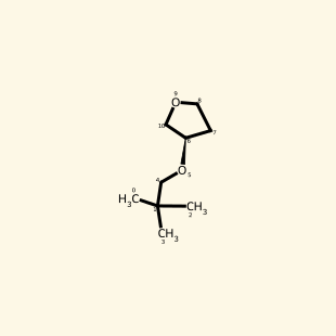 CC(C)(C)CO[C@@H]1CCOC1